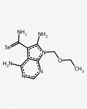 CCOCn1c(N)c(C(N)=[Se])c2c(N)ncnc21